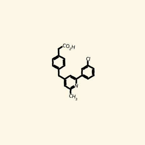 Cc1cc(Cc2ccc(CC(=O)O)cc2)cc(-c2cccc(Cl)c2)n1